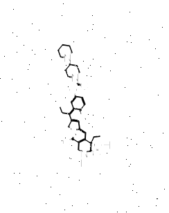 CCc1c2c(nc3ccc(OC(=O)N4CCC(N5CCCCC5)CC4)cc13)-c1cc3c(c(=O)n1C2)CNC(=O)[C@]3(O)CC